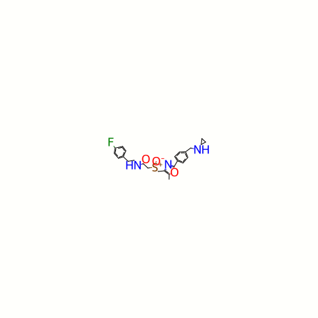 Cc1oc(-c2ccc(CNC3CC3)cc2)nc1C[S+]([O-])CC(=O)NCCc1ccc(F)cc1